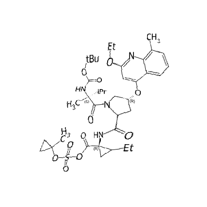 CCOc1cc(O[C@@H]2CC(C(=O)N[C@]3(C(=O)OS(=O)(=O)OC4(C)CC4)CC3CC)N(C(=O)[C@@](C)(NC(=O)OC(C)(C)C)C(C)C)C2)c2cccc(C)c2n1